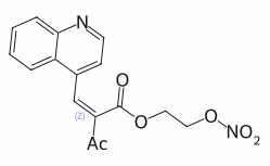 CC(=O)/C(=C/c1ccnc2ccccc12)C(=O)OCCO[N+](=O)[O-]